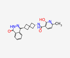 Cc1ccc(C(=O)N[C@H]2CC3(C2)C[C@H](c2n[nH]c(=O)c4ccccc42)C3)c(O)n1